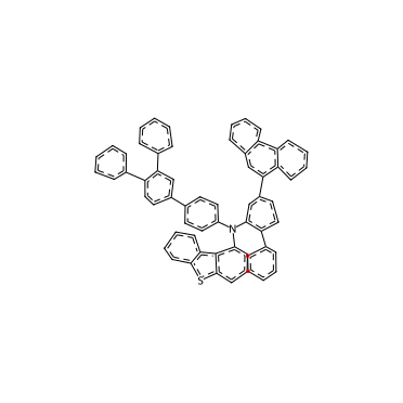 c1ccc(-c2ccc(-c3ccc(N(c4cc(-c5cc6ccccc6c6ccccc56)ccc4-c4ccccc4)c4cccc5sc6ccccc6c45)cc3)cc2-c2ccccc2)cc1